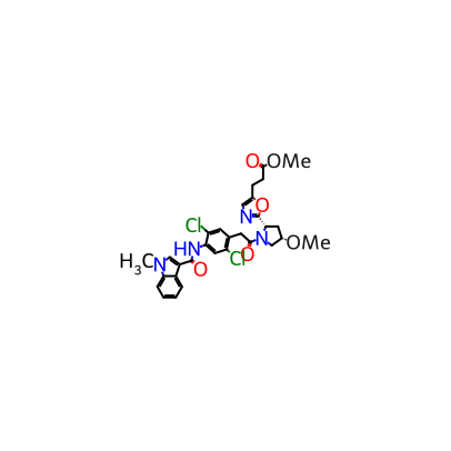 COC(=O)CCc1cnc([C@@H]2C[C@H](OC)CN2C(=O)Cc2cc(Cl)c(NC(=O)c3cn(C)c4ccccc34)cc2Cl)o1